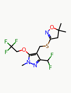 Cn1nc(C(F)F)c(CSC2=NOC(C)(C)C2)c1OCC(F)(F)F